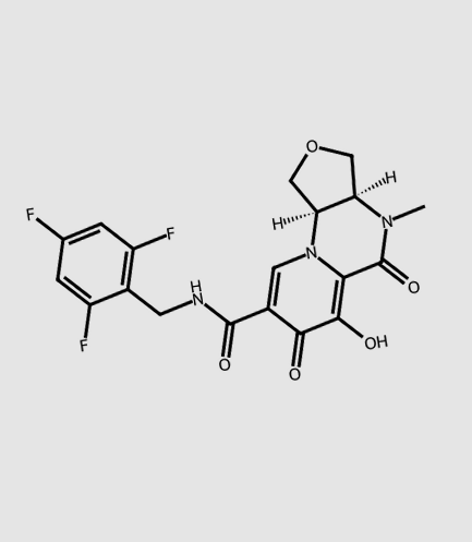 CN1C(=O)c2c(O)c(=O)c(C(=O)NCc3c(F)cc(F)cc3F)cn2[C@H]2COC[C@H]21